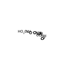 O=C(O)NC[C@H]1CC[C@H](c2ccc(NC(=O)c3nnc(Nc4ccccc4F)o3)cc2)CC1